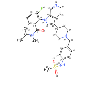 CC(C)N(C)C(=O)c1cccc(F)c1-n1cc(C2CCN(Cc3ccc(NS(C)(=O)=O)cc3)CC2)c2ccncc21